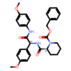 COc1ccc(NC(=O)[C@@H](NC(=O)[C@@H]2CCCCN2C(=O)OCc2ccccc2)c2ccc(OC)cc2)cc1